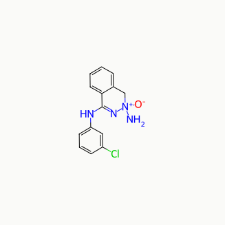 N[N+]1([O-])Cc2ccccc2C(Nc2cccc(Cl)c2)=N1